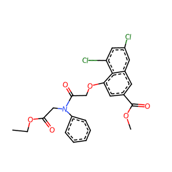 CCOC(=O)CN(C(=O)COc1cc(C(=O)OC)cc2cc(Cl)cc(Cl)c12)c1ccccc1